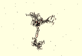 CCCCCC(=O)NC(CSC1=C(SCC(NC(=O)CNC(=O)CNC(=O)CC(C)O)C(=O)O)C(=O)N(CCCOCCOCCOCCCNC(=O)CN2CCN(CC=O)CCN(CC(=O)O)CCN(CC(=O)O)CC2)C1=O)C(=O)N(CCC)CC(=O)N(CCC)CC(=O)NC